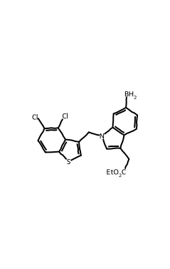 Bc1ccc2c(CC(=O)OCC)cn(Cc3csc4ccc(Cl)c(Cl)c34)c2c1